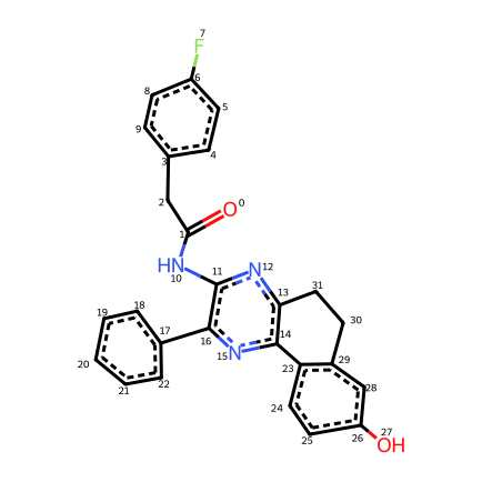 O=C(Cc1ccc(F)cc1)Nc1nc2c(nc1-c1ccccc1)-c1ccc(O)cc1CC2